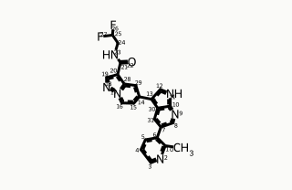 Cc1ncccc1-c1cnc2[nH]cc(-c3ccn4ncc(C(=O)NCC(F)F)c4c3)c2c1